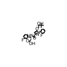 CC(C)(C)[C@](C)(O)COc1cc(C(=O)N[C@@H](CC(=O)O)c2cccc(F)c2)nn1-c1ccccc1F